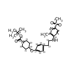 Cc1nc(S(C)(=O)=O)ccc1NCCc1ccc(OC2CCN(C(=O)OC(C)(C)C)CC2)cc1